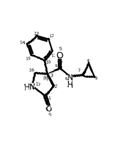 O=C1C[C@@](C(=O)NC2CC2)(c2ccccc2)CN1